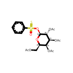 CC(=O)OC[C@H]1O[C@@H](OS(=O)(=S)c2ccccc2)[C@H](OC(C)=O)[C@@H](OC(C)=O)[C@H]1OC(C)=O